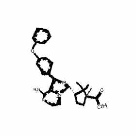 CC1(C)[C@@H](c2nc(-c3ccc(Oc4ccccc4)cc3)c3c(N)nccn23)CC[C@@]1(C)C(=O)O